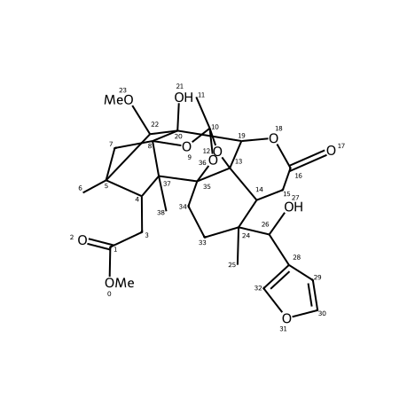 COC(=O)CC1C2(C)CC34OC5(C)OC67C(CC(=O)OC6C3(O)C2OC)C(C)(C(O)c2ccoc2)CCC7(O5)C14C